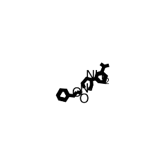 CC(C)c1cccc(C2(N)CCN(C(=O)OCc3ccccc3)CC2)c1